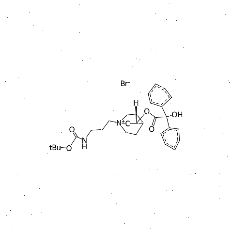 CC(C)(C)OC(=O)NCCC[N+]12CCC(CC1)[C@@H](OC(=O)C(O)(c1ccccc1)c1ccccc1)C2.[Br-]